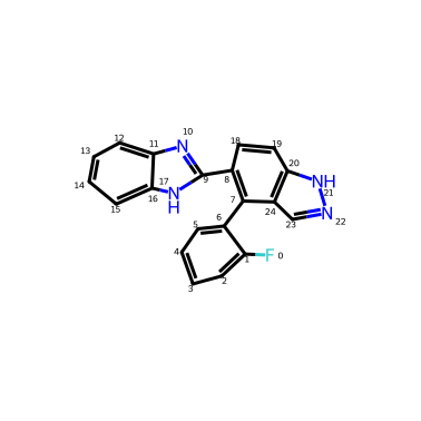 Fc1ccccc1-c1c(-c2nc3ccccc3[nH]2)ccc2[nH]ncc12